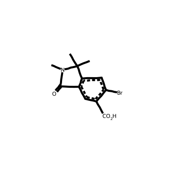 CN1C(=O)c2cc(C(=O)O)c(Br)cc2C1(C)C